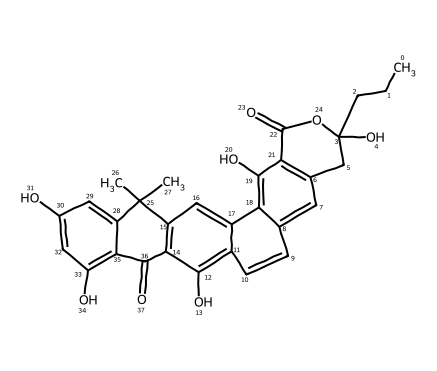 CCCC1(O)Cc2cc3ccc4c(O)c5c(cc4c3c(O)c2C(=O)O1)C(C)(C)c1cc(O)cc(O)c1C5=O